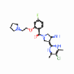 CC1=N/C(=C2\CN(C(=O)c3ccc(F)cc3OCCN3CCCC3)CC2=N)NC(C)=C1Cl